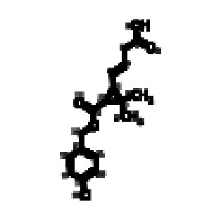 CC1(C)C(/C=C/CC(=O)O)C1C(=O)OCc1ccc(Cl)cc1